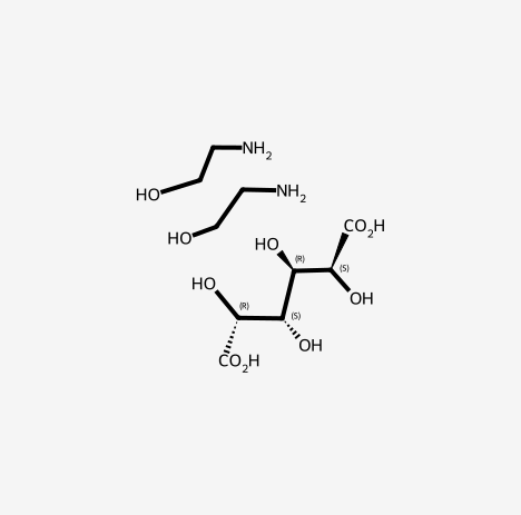 NCCO.NCCO.O=C(O)[C@@H](O)[C@H](O)[C@H](O)[C@@H](O)C(=O)O